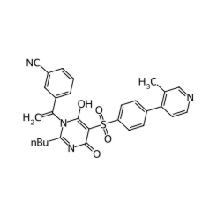 C=C(c1cccc(C#N)c1)n1c(CCCC)nc(=O)c(S(=O)(=O)c2ccc(-c3ccncc3C)cc2)c1O